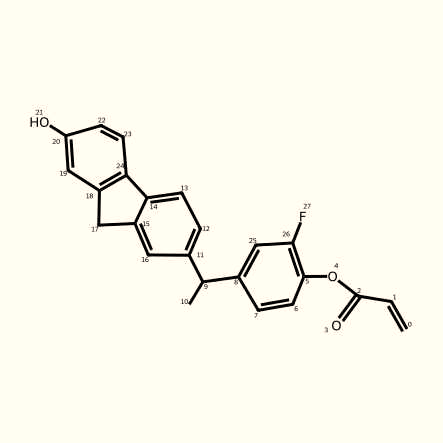 C=CC(=O)Oc1ccc(C(C)c2ccc3c(c2)Cc2cc(O)ccc2-3)cc1F